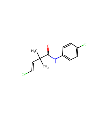 CC(C)(C=CCl)C(=O)Nc1ccc(Cl)cc1